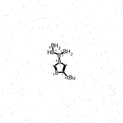 BBB(B)B1C=BC(C(C)(C)C)=C1